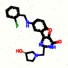 O=c1[nH]c(CN2CC[C@H](O)C2)nc2c1oc1ccc(NCc3ccccc3F)cc12